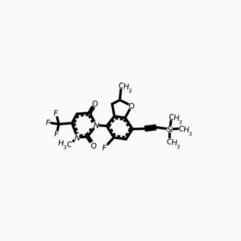 CC1Cc2c(c(C#C[Si](C)(C)C)cc(F)c2-n2c(=O)cc(C(F)(F)F)n(C)c2=O)O1